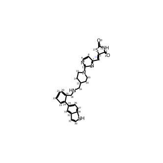 O=C1NC(=O)/C(=C/c2ccnc(N3CCC(CNCc4ccccc4-c4ccc5[nH]ccc5c4)CC3)n2)S1